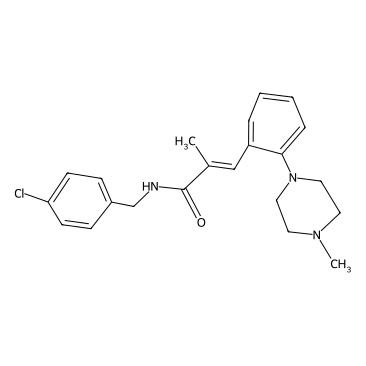 CC(=Cc1ccccc1N1CCN(C)CC1)C(=O)NCc1ccc(Cl)cc1